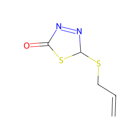 C=CCSC1N=NC(=O)S1